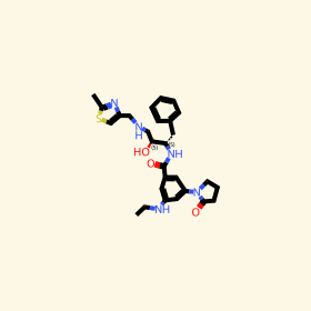 CCNc1cc(C(=O)N[C@@H](Cc2ccccc2)[C@@H](O)CNCc2csc(C)n2)cc(N2CCCC2=O)c1